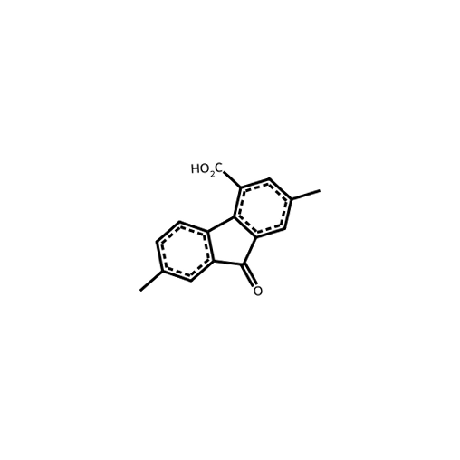 Cc1ccc2c(c1)C(=O)c1cc(C)cc(C(=O)O)c1-2